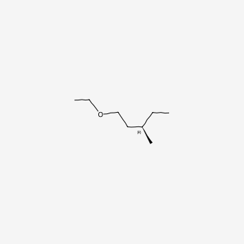 CCOCC[C@H](C)CC